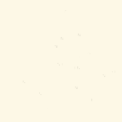 CN1CC(F)C(N2CCC(C(=O)N3CCN(C4COC4)CC3)CC2)C(NC(=O)c2c(N)nn3c2N=CC(F)C3)C1